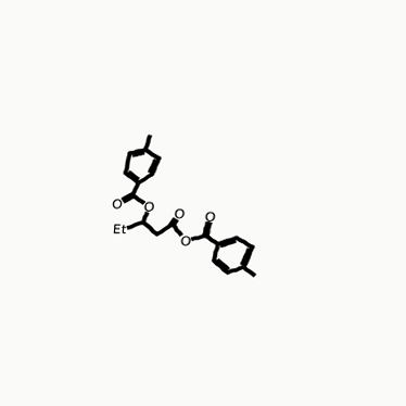 CCC(CC(=O)OC(=O)c1ccc(C)cc1)OC(=O)c1ccc(C)cc1